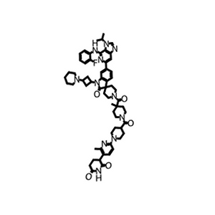 Cc1nc(N2CCC(C(=O)N3CCC(C)(C(=O)N4CCC5(CC4)C(=O)N(C4CC(N6CCCCC6)C4)c4cc(-c6cc7ncn(C(C)C)c7c(Nc7ccccc7F)n6)ccc45)CC3)CC2)ccc1C1CCC(=O)NC1=O